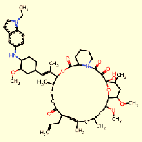 C=CCC1/C=C(\C)CC(C)CC(OC)C2OC(O)(C(=O)C(=O)N3CCCCC3C(=O)OC(C(C)=CC3CCC(Nc4ccc5c(ccn5CC)c4)C(OC)C3)C(C)CCC1=O)C(C)CC2OC